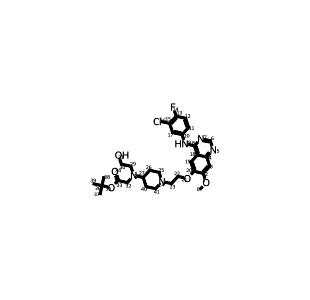 COc1cc2ncnc(Nc3ccc(F)c(Cl)c3)c2cc1OCCN1CCC(N(CCO)CC(=O)OC(C)(C)C)CC1